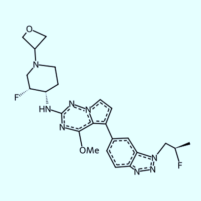 COc1nc(N[C@H]2CCN(C3COC3)C[C@H]2F)nn2ccc(-c3ccc4nnn(C[C@@H](C)F)c4c3)c12